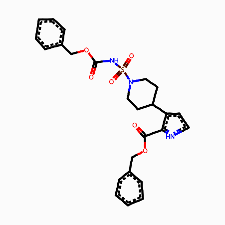 O=C(NS(=O)(=O)N1CCC(c2cc[nH]c2C(=O)OCc2ccccc2)CC1)OCc1ccccc1